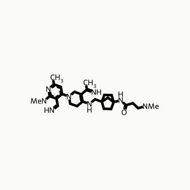 CNCCC(=O)NC12CCC(CNC3=C(C(C)=N)CN(c4cc(C)nc(NC)c4C=N)CC3)(CC1)C2